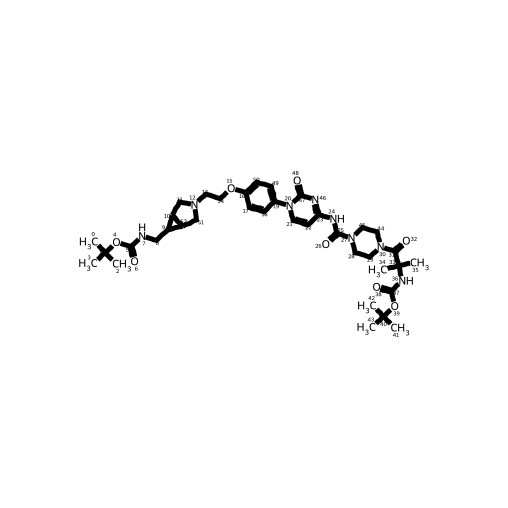 CC(C)(C)OC(=O)NCC1C2CN(CCOc3ccc(-n4ccc(NC(=O)N5CCN(C(=O)C(C)(C)NC(=O)OC(C)(C)C)CC5)nc4=O)cc3)CC12